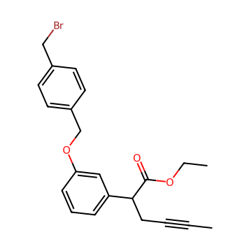 CC#CCC(C(=O)OCC)c1cccc(OCc2ccc(CBr)cc2)c1